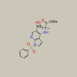 COC(=O)C(C)(CO)Nc1c([N+](=O)[O-])cnc2c1ccn2S(=O)(=O)c1ccccc1